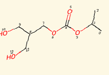 CC(C)OC(=O)OCC(CO)CO